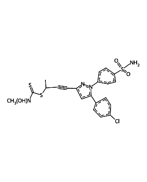 CC(C#Cc1cc(-c2ccc(Cl)cc2)n(-c2ccc(S(N)(=O)=O)cc2)n1)SC(=S)N(C)O